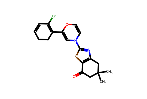 CC1(C)CC(=O)c2sc(N3C=COC(C4=C(Br)C=CCC4)=C3)nc2C1